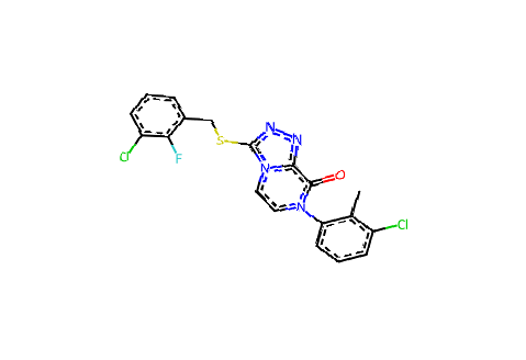 Cc1c(Cl)cccc1-n1ccn2c(SCc3cccc(Cl)c3F)nnc2c1=O